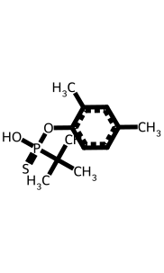 Cc1ccc(OP(O)(=S)C(C)(C)C)c(C)c1